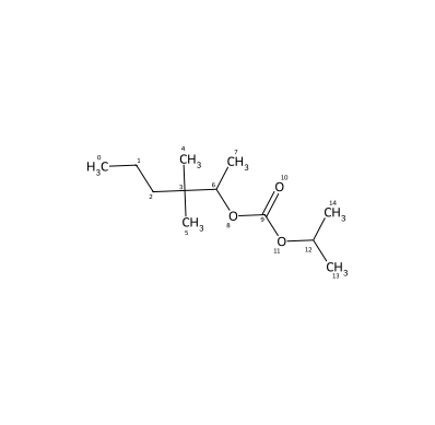 CCCC(C)(C)C(C)OC(=O)OC(C)C